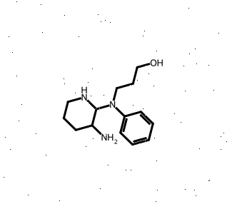 NC1CCCNC1N(CCCO)c1ccccc1